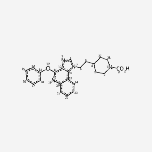 O=C(O)N1CCC(CCn2cnc3c(Oc4ccccc4)nc4ccccc4c32)CC1